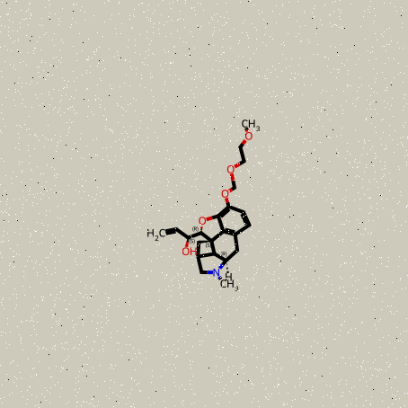 C=C[C@H](O)[C@@H]1Oc2c(OCOCCOC)ccc3c2[C@@]12CC1CN(C)[C@H](C3)C12